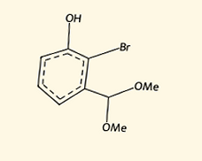 COC(OC)c1cccc(O)c1Br